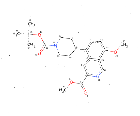 COC(=O)c1cc2c(C3CCN(C(=O)OC(C)(C)C)CC3)ccc(OC)c2cn1